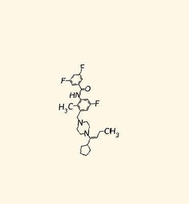 CC/C=C(/C1CCCC1)N1CCN(Cc2cc(F)cc(NC(=O)c3cc(F)cc(F)c3)c2C)CC1